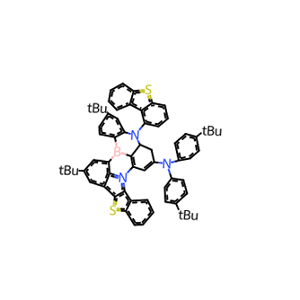 CC(C)(C)c1ccc(N(C2=CC3=C4B(c5ccc(C(C)(C)C)cc5N(c5cccc6sc7ccccc7c56)C4C2)c2cc(C(C)(C)C)cc4c5sc6ccccc6c5n3c24)c2ccc(C(C)(C)C)cc2)cc1